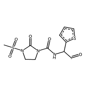 CS(=O)(=O)N1CCN(C(=O)NC([C]=O)c2cccs2)C1=O